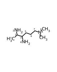 CC(N)C(N)CCCN(C)C